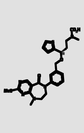 CSc1ncc2c(n1)N(C)CCN(c1cccc(CO[C@@H](CCN(C)C(=O)O)c3cccs3)c1)C2=O